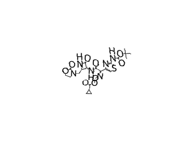 CC(C)(C)OC(=O)Nc1nc(/C(=N/OOC(=O)C2CC2)C(=O)N[C@@H]2C(=O)N[C@@H]2CN2CCOC2=O)cs1